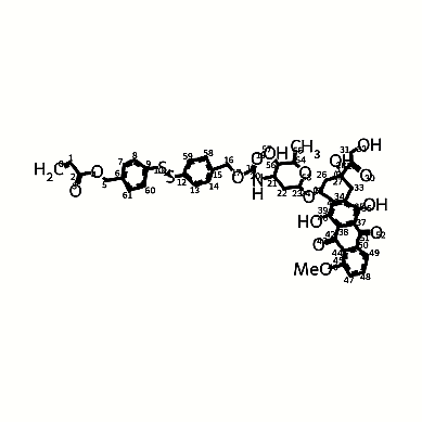 C=CC(=O)OCc1ccc(SSc2ccc(COC(=O)NC3CC(O[C@@H]4C[C@@](O)(C(=O)CO)Cc5c(O)c6c(c(O)c54)C(=O)c4c(OC)cccc4C6=O)OC(C)C3O)cc2)cc1